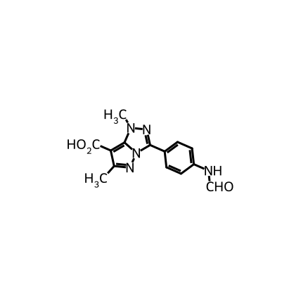 Cc1nn2c(-c3ccc(NC=O)cc3)nn(C)c2c1C(=O)O